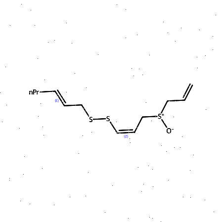 C=CC[S+]([O-])C/C=C\SSC/C=C/CCC